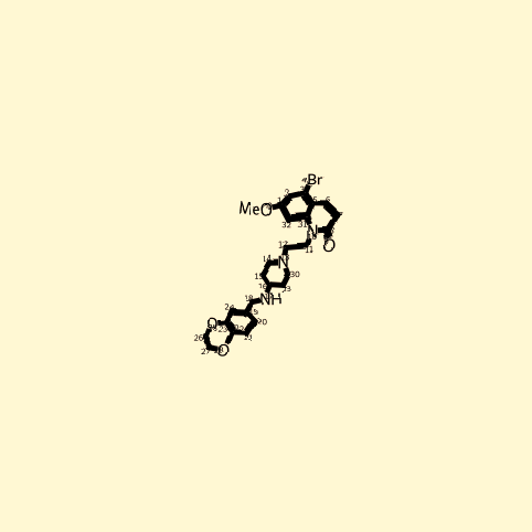 COc1cc(Br)c2ccc(=O)n(CCN3CCC(NCc4ccc5c(c4)OCCO5)CC3)c2c1